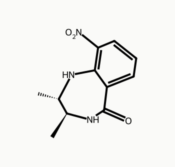 C[C@@H]1NC(=O)c2cccc([N+](=O)[O-])c2N[C@H]1C